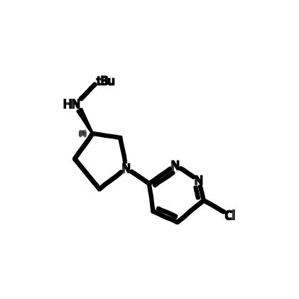 CC(C)(C)N[C@@H]1CCN(c2ccc(Cl)nn2)C1